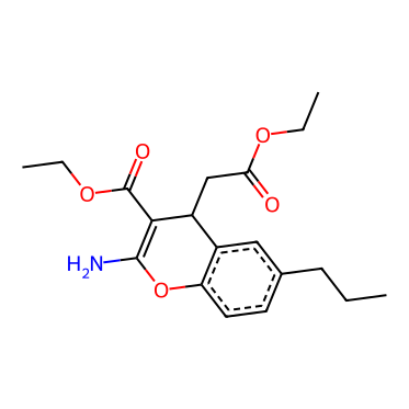 CCCc1ccc2c(c1)C(CC(=O)OCC)C(C(=O)OCC)=C(N)O2